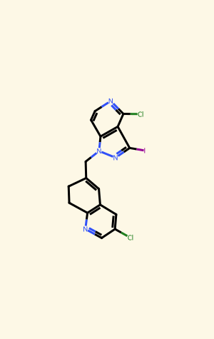 Clc1cnc2c(c1)C=C(Cn1nc(I)c3c(Cl)nccc31)CC2